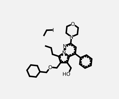 CCCc1c(COCC2CCCCC2)c(CO)c2c(-c3ccccc3)cc(N3CCOCC3)nn12.CCI